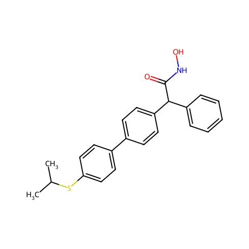 CC(C)Sc1ccc(-c2ccc(C(C(=O)NO)c3ccccc3)cc2)cc1